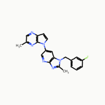 Cc1cnc2ccn(-c3cnc4nc(C)n(Cc5cccc(F)c5)c4c3)c2n1